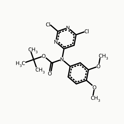 COc1ccc(N(C(=O)OC(C)(C)C)c2cc(Cl)nc(Cl)n2)cc1OC